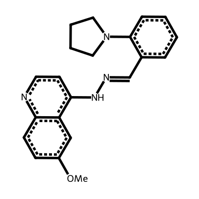 COc1ccc2nccc(NN=Cc3ccccc3N3CCCC3)c2c1